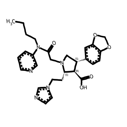 CCCCN(C(=O)CN1C[C@H](c2ccc3c(c2)OCO3)[C@@H](C(=O)O)[C@@H]1CCn1ccnc1)c1cccnc1